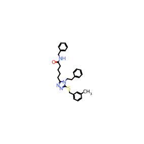 Cc1cccc(CSc2nnc(CCCCC(=O)NCc3ccccc3)n2CCc2ccccc2)c1